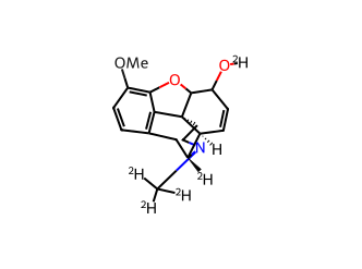 [2H]OC1C=C[C@@H]2[C@@]34CCN(C([2H])([2H])[2H])[C@]2([2H])Cc2ccc(OC)c(c23)OC14